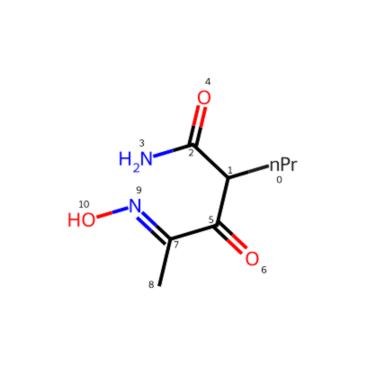 CCCC(C(N)=O)C(=O)C(C)=NO